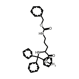 COC(=O)C(CCCNC(=O)OCc1ccccc1)NC(c1ccccc1)(c1ccccc1)c1ccccc1